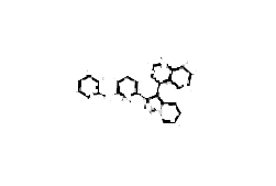 c1ccc(Sc2cccc(-c3nn4ccccc4c3-c3ccnc4ccccc34)n2)cc1